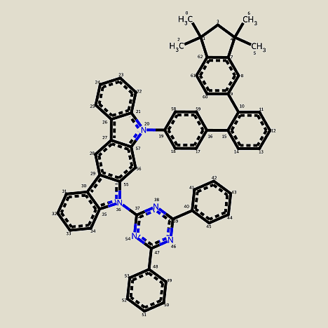 CC1(C)CC(C)(C)c2cc(-c3ccccc3-c3ccc(-n4c5ccccc5c5cc6c7ccccc7n(-c7nc(-c8ccccc8)nc(-c8ccccc8)n7)c6cc54)cc3)ccc21